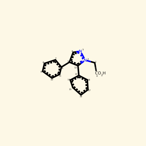 O=C(O)Cn1ncc(-c2ccccc2)c1-c1ccccc1